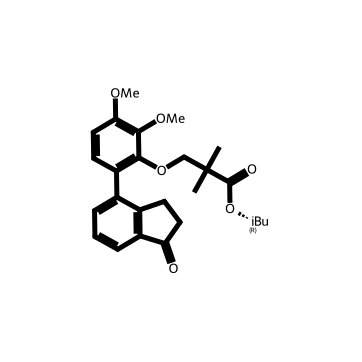 CC[C@@H](C)OC(=O)C(C)(C)COc1c(-c2cccc3c2CCC3=O)ccc(OC)c1OC